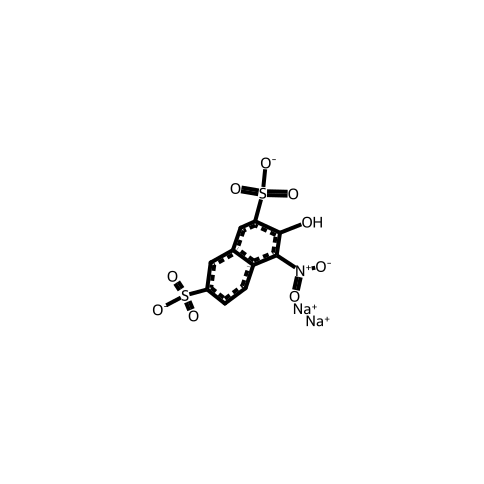 O=[N+]([O-])c1c(O)c(S(=O)(=O)[O-])cc2cc(S(=O)(=O)[O-])ccc12.[Na+].[Na+]